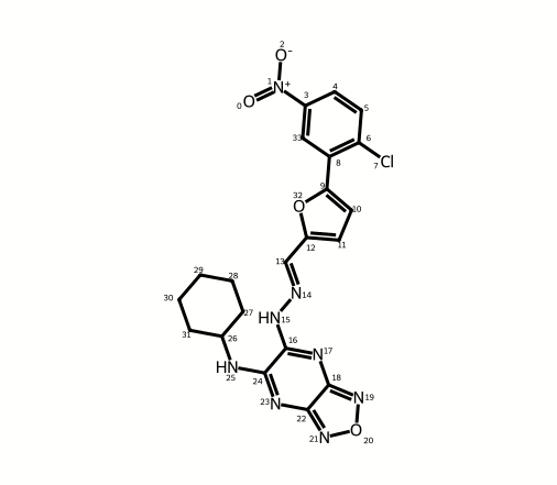 O=[N+]([O-])c1ccc(Cl)c(-c2ccc(C=NNc3nc4nonc4nc3NC3CCCCC3)o2)c1